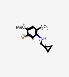 COc1cc([N+](=O)[O-])c(NCC2CC2)cc1Br